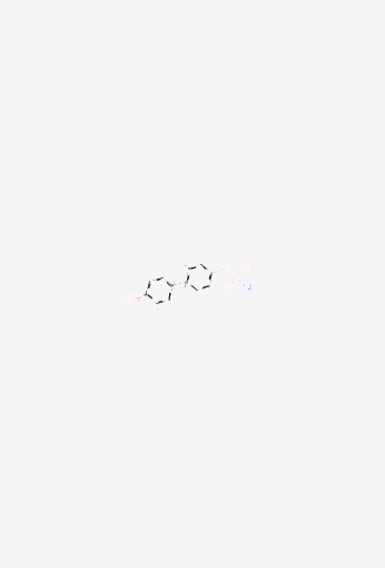 NS(=O)(=O)Oc1ccc(-c2ccc(O)cc2)cc1